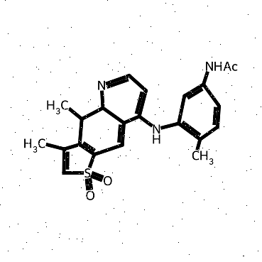 CC(=O)Nc1ccc(C)c(NC2=CC=NC3C2=CC2=C(C(C)=CS2(=O)=O)C3C)c1